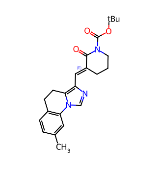 Cc1ccc2c(c1)-n1cnc(/C=C3\CCCN(C(=O)OC(C)(C)C)C3=O)c1CC2